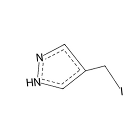 ICc1cn[nH]c1